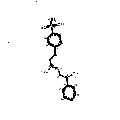 C[C@@H](CCc1ccc(S(N)(=O)=O)cc1)NC[C@@H](O)c1ccccc1